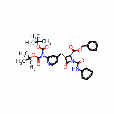 CC(C)(C)OC(=O)N(C(=O)OC(C)(C)C)c1cc(C[C@H]2C(=O)N(C(=O)Nc3ccccc3)[C@@H]2C(=O)OCc2ccccc2)ccn1